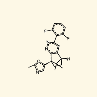 Cc1ncc([C@@]23CC[C@@H](c4cc(-c5c(F)cccc5F)nnc42)C3(C)C)o1